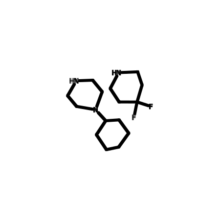 C1CCC(N2CCNCC2)CC1.FC1(F)CCNCC1